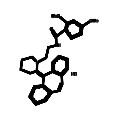 COc1ccc(C(=O)NCCN2CCCCC2=C2c3ccccc3C=Cc3ccccc32)c(OC)c1.Cl